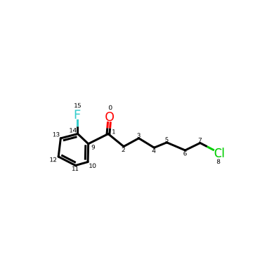 O=C(CCCCCCCl)c1ccccc1F